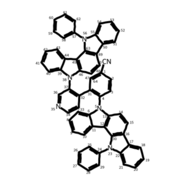 N#Cc1ccc(-n2c3ccccc3c3c2ccc2c4ccccc4n(-c4ccccc4)c23)c(-c2ccncc2-n2c3ccccc3c3c2ccc2c4ccccc4n(-c4ccccc4)c23)c1